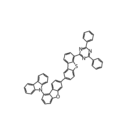 c1ccc(-c2nc(-c3ccccc3)nc(-c3cccc4c3sc3ccc(-c5ccc6c(c5)oc5cccc(-n7c8ccccc8c8ccccc87)c56)cc34)n2)cc1